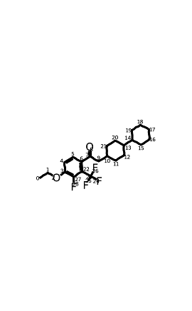 CCOc1ccc(C(=O)CC2CCC(C3CCCCC3)CC2)c(C(F)(F)F)c1F